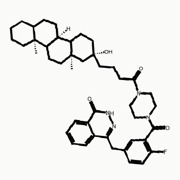 C[C@]12CCC3[C@@H](CCC4CCCC[C@@]43C)C1CC[C@@](O)(CCCC(=O)N1CCN(C(=O)c3cc(Cc4n[nH]c(=O)c5ccccc45)ccc3F)CC1)C2